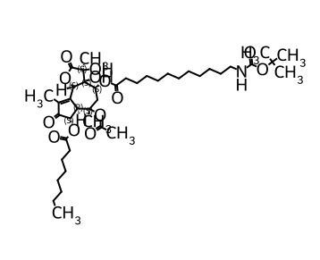 CCCCCCCC(=O)O[C@@H]1C(=O)C(C)=C2[C@H]1[C@@](C)(OC(C)=O)C[C@H](OC(=O)CCCCCCCCCCCNC(=O)OC(C)(C)C)[C@]1(O)[C@H]2OC(=O)[C@@]1(C)O